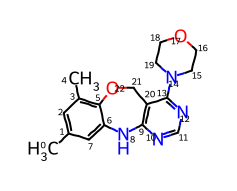 Cc1cc(C)c2c(c1)Nc1ncnc(N3CCOCC3)c1CO2